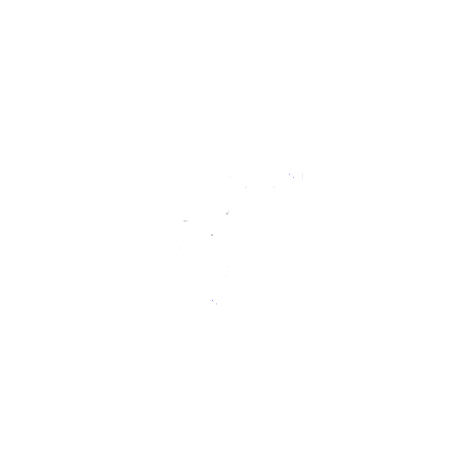 Cc1cc([Si](C)(O[Si](C)(c2ccccc2)c2ccc(N)c(C)c2)c2ccccc2)ccc1N